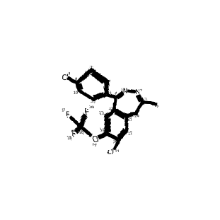 CC1=NN=C(c2ccc(Cl)cc2)c2cc(OC(F)(F)F)c(Cl)cc2C1